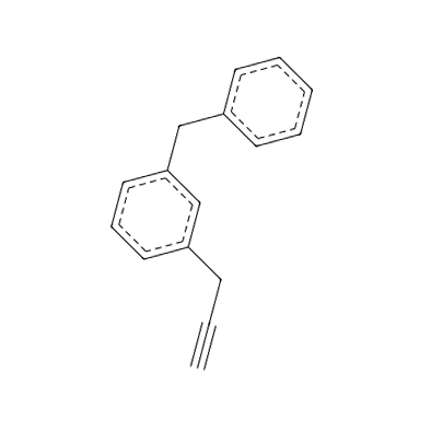 C#CCc1cccc(Cc2ccccc2)c1